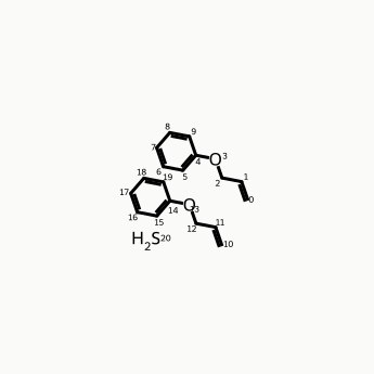 C=CCOc1ccccc1.C=CCOc1ccccc1.S